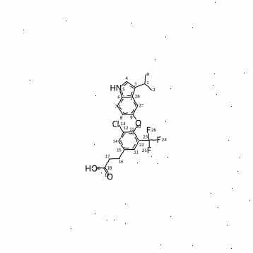 CC(C)c1c[nH]c2ccc(Oc3c(Cl)cc(CCC(=O)O)cc3C(F)(F)F)cc12